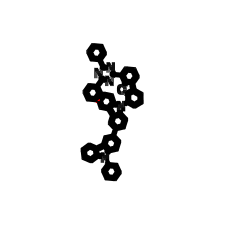 c1ccc(-c2nc(-c3ccccc3)nc(-c3cccc4c3oc3c(-n5c6ccccc6c6cc(-c7ccc8c(c7)c7ccccc7n8-c7ccccc7)ccc65)cccc34)n2)cc1